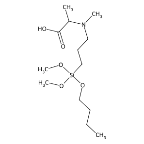 CCCCO[Si](CCCN(C)C(C)C(=O)O)(OC)OC